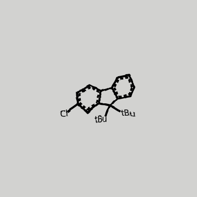 CC(C)(C)C1(C(C)(C)C)c2ccccc2-c2ccc(Cl)cc21